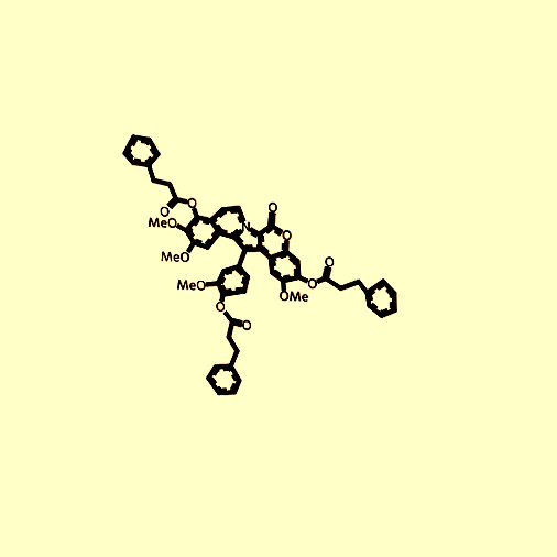 COc1cc(-c2c3c4cc(OC)c(OC(=O)CCc5ccccc5)cc4oc(=O)c3n3ccc4c(OC(=O)CCc5ccccc5)c(OC)c(OC)cc4c23)ccc1OC(=O)CCc1ccccc1